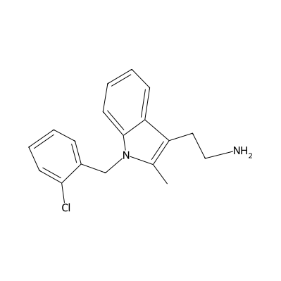 Cc1c(CCN)c2ccccc2n1Cc1ccccc1Cl